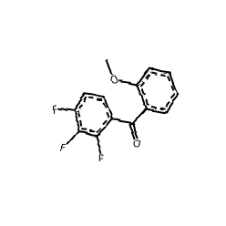 COc1ccccc1C(=O)c1ccc(F)c(F)c1F